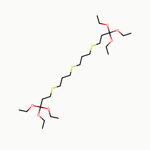 CCOC(CCSCCCSCCCSCCC(OCC)(OCC)OCC)(OCC)OCC